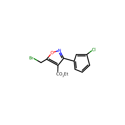 CCOC(=O)c1c(-c2cccc(Cl)c2)noc1CBr